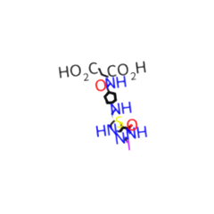 O=C(O)CC[C@H](NC(=O)c1ccc(NC[C@H]2CNc3nc(I)[nH]c(=O)c3S2)cc1)C(=O)O